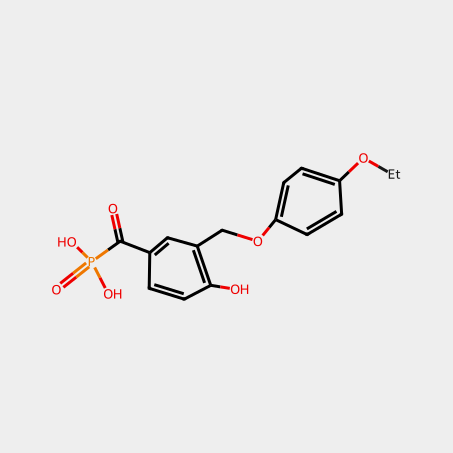 CCOc1ccc(OCc2cc(C(=O)P(=O)(O)O)ccc2O)cc1